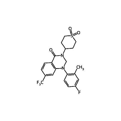 Cc1cc(F)ccc1N1CN(C2CCS(=O)(=O)CC2)C(=O)c2ccc(C(F)(F)F)cc21